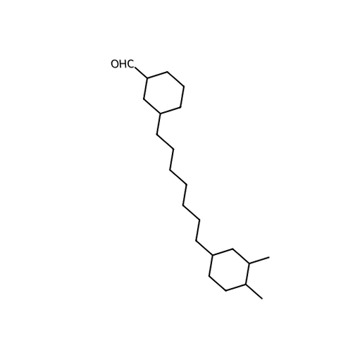 CC1CCC(CCCCCCCC2CCCC(C=O)C2)CC1C